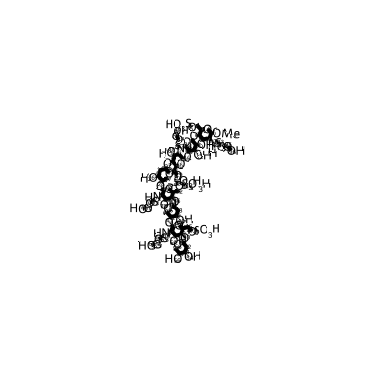 CO[C@H]1OC(COS(=O)(=O)O)[C@@H](O[C@H]2C[C@H](O)[C@H](O[C@@H]3OC(COS(=O)(=O)O)[C@@H](O[C@H]4C[C@H](O)[C@H](O[C@@H]5OC(COS(=O)(=O)O)[C@@H](O[C@H]6C[C@H](O)[C@H](O[C@@H]7OC(COS(=O)(=O)O)[C@@H](O[C@H]8C[C@H](O)[C@H](O)CO8)[C@H](O)C7NSOOO)CO6)[C@H](O)C5NSOOO)CO4)[C@H](O)C3NSOOO)CO2)[C@H](O)C1NSOOO